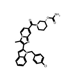 Cc1c(-c2cc3ccccc3n2Cc2ccc(Cl)cc2)nc2cc(C(=O)N3CCC[C@@H](OC(N)=O)C3)ccn12